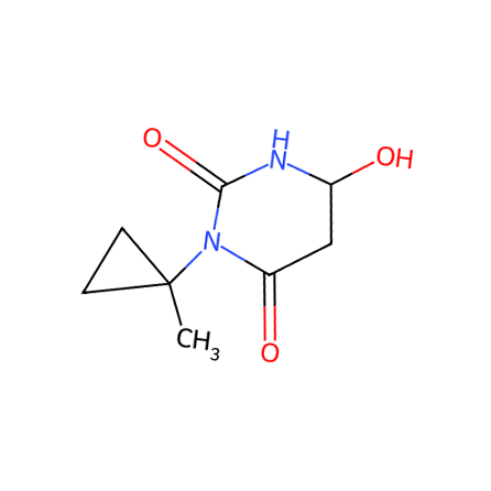 CC1(N2C(=O)CC(O)NC2=O)CC1